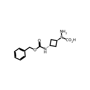 NN(C(=O)O)[C@H]1C[C@H](NC(=O)OCc2ccccc2)C1